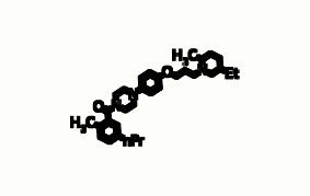 CCCc1ccc(C)c(C(=O)N2CCN(c3ccc(OCCCN4CC(CC)CCC4C)cc3)CC2)c1